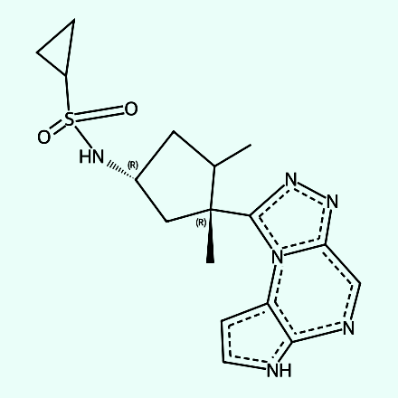 CC1C[C@@H](NS(=O)(=O)C2CC2)C[C@@]1(C)c1nnc2cnc3[nH]ccc3n12